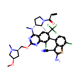 C=CC(=O)N1CC[C@@H](N(C)c2nc(OC[C@H]3C[C@@H](OC)CN3C)nc3c(F)c(-c4ccc(F)c5sc(N)c(C#N)c45)c(C(F)(F)F)cc23)[C@H]1C